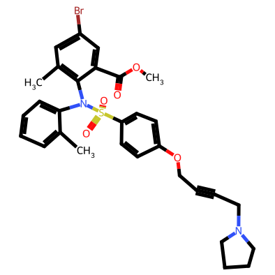 COC(=O)c1cc(Br)cc(C)c1N(c1ccccc1C)S(=O)(=O)c1ccc(OCC#CCN2CCCC2)cc1